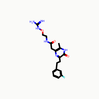 Cc1[nH]c(=O)c(CCc2cccc(F)c2)nc1CC(=O)NCCONC(=N)N